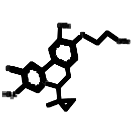 COCCOc1cc2c(cc1OC)-c1cc(=O)c(C(=O)O)cn1C(C1(C)CC1)C2